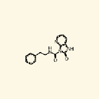 O=C(NCCc1ccccc1)n1c(=O)[nH]c2cccnc21